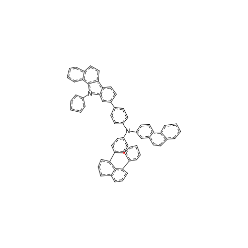 c1ccc(-c2cccc3cccc(-c4ccc(N(c5ccc(-c6ccc7c8ccc9ccccc9c8n(-c8ccccc8)c7c6)cc5)c5ccc6c(ccc7ccccc76)c5)cc4)c23)cc1